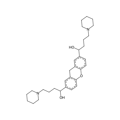 OC(CCCN1CCCCC1)c1ccc2c(c1)Cc1cc(C(O)CCCN3CCCCC3)ccc1O2